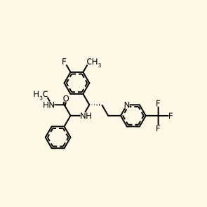 CNC(=O)C(N[C@@H](CCc1ccc(C(F)(F)F)cn1)c1ccc(F)c(C)c1)c1ccccc1